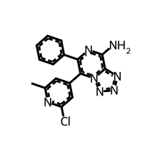 Cc1cc(-c2c(-c3ccccc3)nc(N)c3nnnn23)cc(Cl)n1